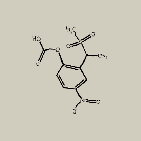 CC(c1cc([N+](=O)[O-])ccc1OC(=O)O)S(C)(=O)=O